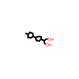 CC1CCC(C2CCC(C(CO)CO)CC2)CC1